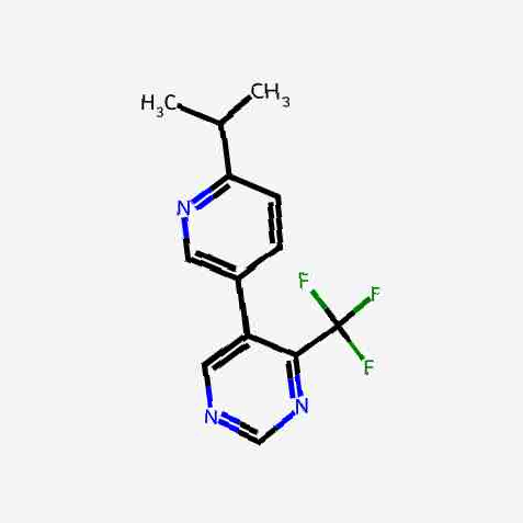 CC(C)c1ccc(-c2cncnc2C(F)(F)F)cn1